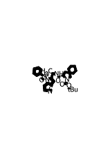 C[C@@H](NC(=O)[C@@H]1CC2(CCCCC2)CN1C(=O)OC(C)(C)C)c1cc2cnccc2n1S(=O)(=O)c1ccccc1